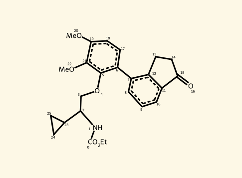 CCOC(=O)NC(COc1c(-c2cccc3c2CCC3=O)ccc(OC)c1OC)C1CC1